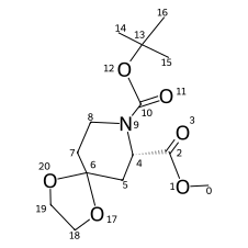 COC(=O)[C@@H]1CC2(CCN1C(=O)OC(C)(C)C)OCCO2